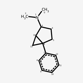 CN(C)C1CCC2(c3ccccc3)CC12